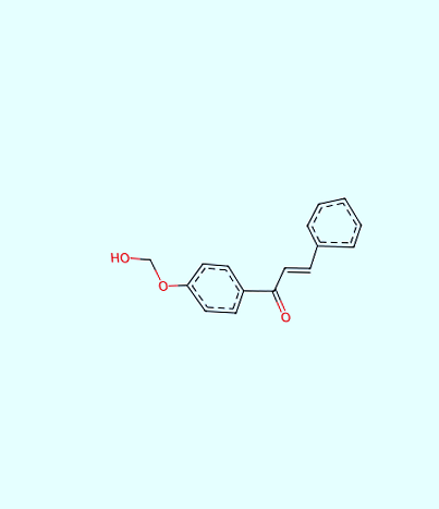 O=C(/C=C/c1ccccc1)c1ccc(OCO)cc1